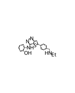 CCNCc1ccc(-c2cc3ncnc(Nc4ccccc4O)c3s2)cc1